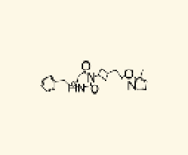 Cc1cccnc1OCCC1CC(N2C(=O)C[C@H](CCc3ccccc3)NC2=O)C1